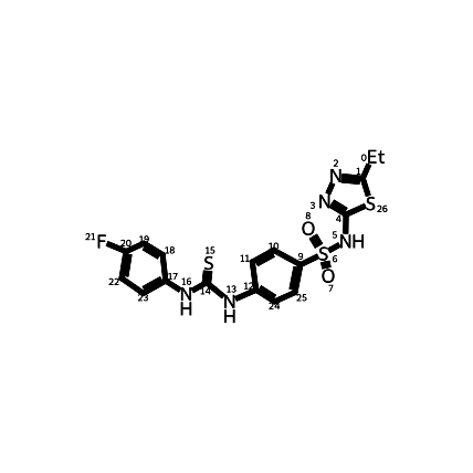 CCc1nnc(NS(=O)(=O)c2ccc(NC(=S)Nc3ccc(F)cc3)cc2)s1